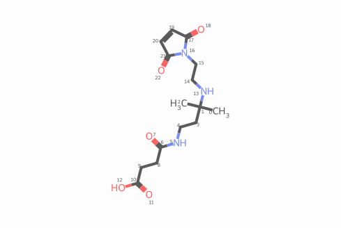 CC(C)(CCNC(=O)CCC(=O)O)NCCN1C(=O)C=CC1=O